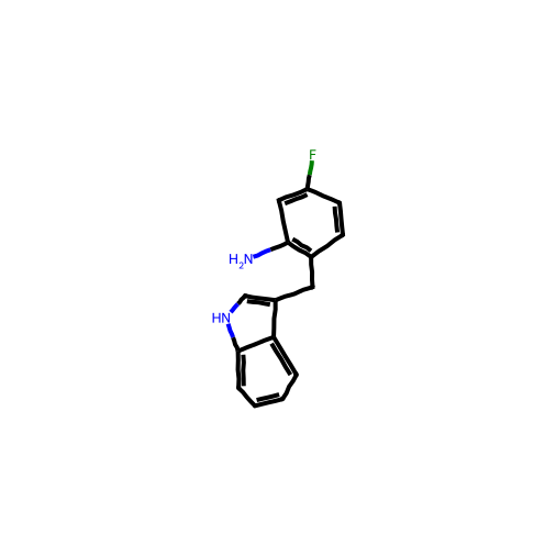 Nc1cc(F)ccc1Cc1c[nH]c2ccccc12